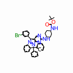 CC(C)(C)OC(=O)NC1CCC(Nc2ncc3c(-c4cccc(Br)c4)nn(C(c4ccccc4)(c4ccccc4)c4ccccc4)c3n2)CC1